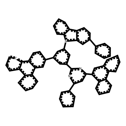 c1ccc(-c2ccc3c4ccccc4n(-c4cc(-c5ccc6c7ccccc7c7ccccc7c6c5)cc(-c5nc(-c6ccccc6)cc(-c6cc7ccccc7c7ccccc67)n5)c4)c3c2)cc1